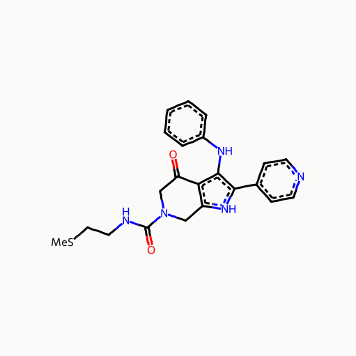 CSCCNC(=O)N1CC(=O)c2c([nH]c(-c3ccncc3)c2Nc2ccccc2)C1